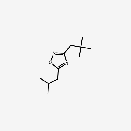 CC(C)Cc1nc(CC(C)(C)C)no1